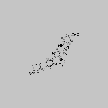 Cc1cc(Oc2cccc(C#N)c2)ccc1-n1ncc(C(=O)c2nc3cc(C=O)ccc3[nH]2)c1N